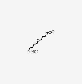 CCCCCCCCCCCOCCCN=C=O